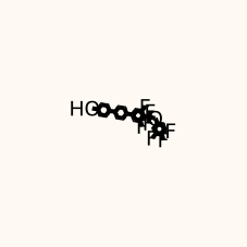 OC1CCC(C2CCC(c3cc(F)c(C(F)(F)Oc4cc(F)c(F)c(F)c4)c(F)c3)CC2)CC1